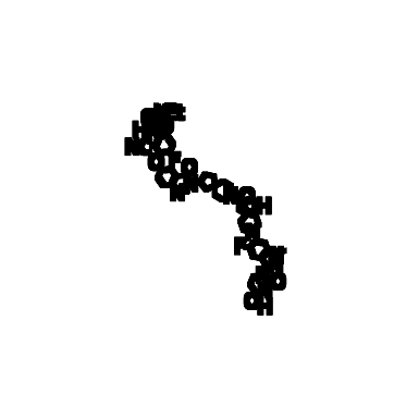 CCN(C)S(=O)(=O)Nc1ccc(F)c(Oc2ccc3ncn([C@H]4CCC5(CCN(C(=O)CC6(O)CCN(c7cc8c(cc7F)c(N7CCC(=O)NC7=O)nn8C)CC6)CC5)C4)c(=O)c3c2)c1C#N